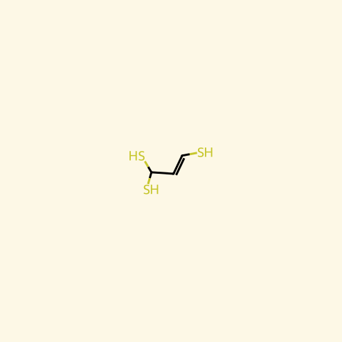 SC=CC(S)S